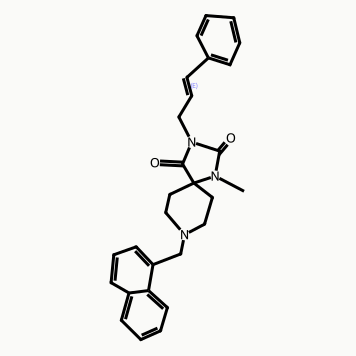 CN1C(=O)N(C/C=C/c2ccccc2)C(=O)C12CCN(Cc1cccc3ccccc13)CC2